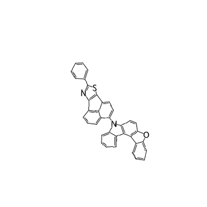 c1ccc(-c2nc3c(s2)-c2ccc(-n4c5ccccc5c5c6c(ccc54)oc4ccccc46)c4cccc-3c24)cc1